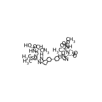 COC(=O)N[C@H](C(=O)N1CCS(=O)(=O)CC1c1ncc(-c2ccc(-c3ccc4c(ccc5nc([C@@H]6C[Si](C)(C)CN6C[C@@H](NC(=O)CO)C(C)C)[nH]c54)c3)cc2)[nH]1)C(C)C